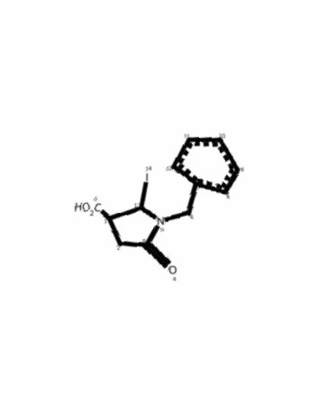 O=C(O)C1CC(=O)N(Cc2ccccc2)C1I